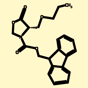 CCCOC[C@H]1C(=O)OCN1C(=O)OCC1c2ccccc2-c2ccccc21